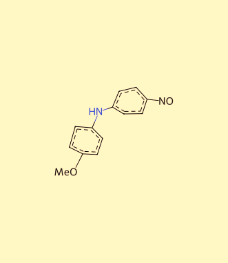 COc1ccc(Nc2ccc(N=O)cc2)cc1